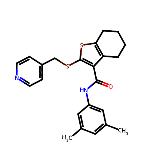 Cc1cc(C)cc(NC(=O)c2c(SCc3ccncc3)sc3c2CCCC3)c1